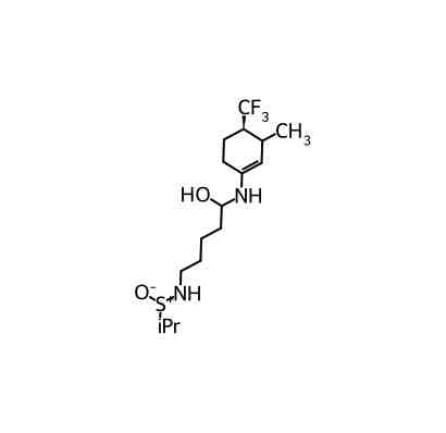 CC1C=C(NC(O)CCCCN[S+]([O-])C(C)C)CC[C@H]1C(F)(F)F